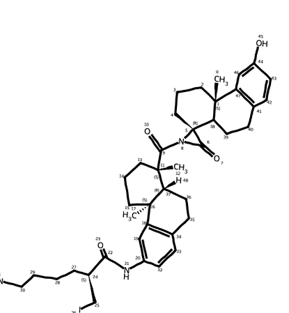 C[C@]12CCC[C@]3(C(=O)N3C(=O)[C@@]3(C)CCC[C@]4(C)c5cc(NC(=O)[C@@H](CI)CCCCN)ccc5CC[C@@H]34)C1CCc1ccc(O)cc12